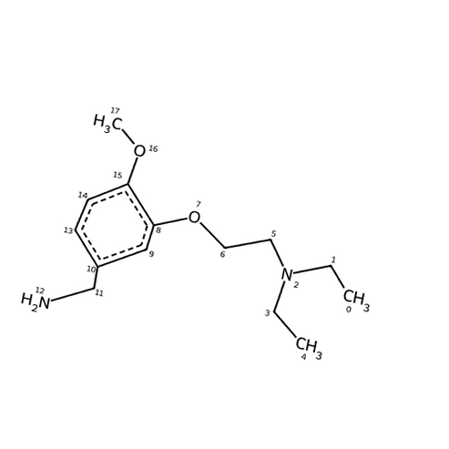 CCN(CC)CCOc1cc(CN)ccc1OC